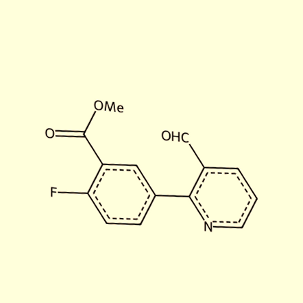 COC(=O)c1cc(-c2ncccc2C=O)ccc1F